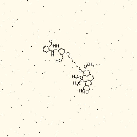 COc1cc(/C=C\c2cc(OC)c(OCCCCCCOc3ccc(C4NC(=O)c5ccccc5N4)cc3CO)c(OC)c2)cc(CO)c1CO